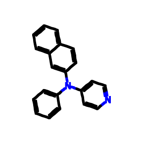 c1ccc(N(c2ccncc2)c2ccc3ccccc3c2)cc1